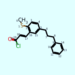 CSc1ccc(CCCc2ccccc2)cc1C=CC(=O)Cl